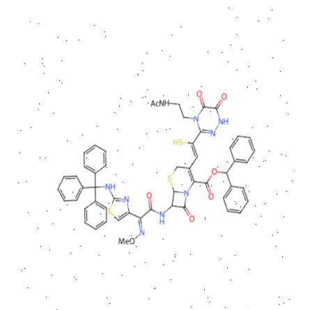 CON=C(C(=O)NC1C(=O)N2C(C(=O)OC(c3ccccc3)c3ccccc3)=C(C=C(S)c3n[nH]c(=O)c(=O)n3CCNC(C)=O)CSC12)c1csc(NC(c2ccccc2)(c2ccccc2)c2ccccc2)n1